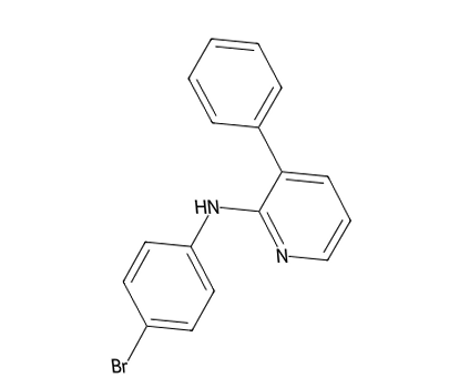 Brc1ccc(Nc2ncccc2-c2ccccc2)cc1